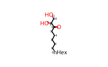 CCCCCCCCCCCC(=O)C(O)CO